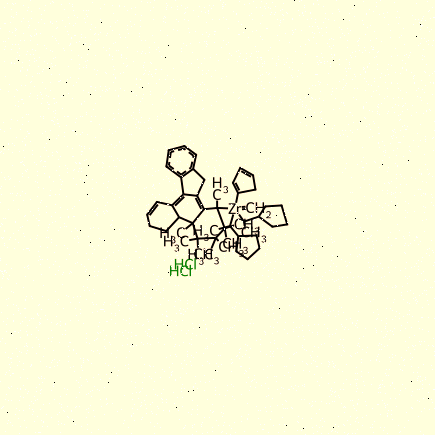 Cl.Cl.[CH2]=[Zr]([C]1=CC=CC1)([CH](C)C1CCCC1)([CH](C)C1CCCC1)[C]1(C)C2=C3Cc4ccccc4C3=C3C=CCCC3C2(C)C(C)(C)C(C)(C)C1(C)C